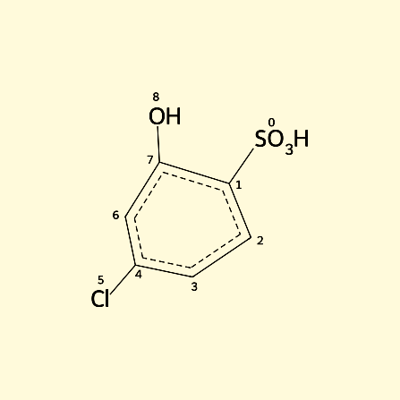 O=S(=O)(O)c1ccc(Cl)cc1O